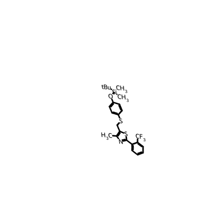 Cc1nc(-c2ccccc2C(F)(F)F)sc1CSc1ccc(O[Si](C)(C)C(C)(C)C)cc1